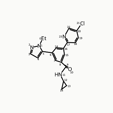 CCn1nccc1-c1cc(C(=O)NC2CC2)cc(-c2ccc(Cl)cn2)c1